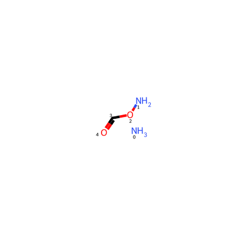 N.NOC=O